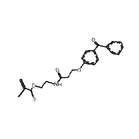 C=C(C)C(=O)OCCNC(=O)CCOc1ccc(C(=O)c2ccccc2)cc1